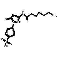 CCCCCCC(=O)Nc1cc(=O)n(-c2ccc(S(=O)(=O)O)cc2)[nH]1